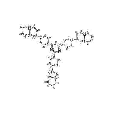 c1ccc2cc(-c3ccc(-c4cc(-c5ccc(-c6ccc7ccccc7c6)cc5)nc(-c5ccc(-c6nc7ccccc7s6)cc5)n4)cc3)ccc2c1